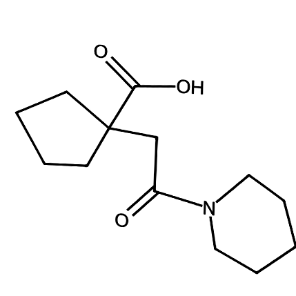 O=C(CC1(C(=O)O)CCCC1)N1CCCCC1